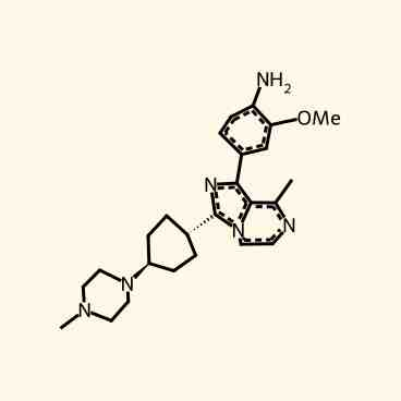 COc1cc(-c2nc([C@H]3CC[C@H](N4CCN(C)CC4)CC3)n3ccnc(C)c23)ccc1N